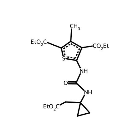 CCOC(=O)CC1(NC(=O)Nc2sc(C(=O)OCC)c(C)c2C(=O)OCC)CC1